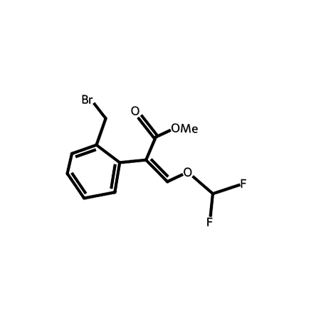 COC(=O)C(=COC(F)F)c1ccccc1CBr